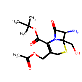 CC(=O)OCC1=C(C(=O)OC(C)(C)C)N2C(=O)[C@@H](N)C2(CO)SC1